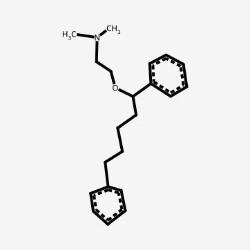 CN(C)CCOC(CCCCc1ccccc1)c1ccccc1